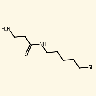 NCCC(=O)NCCCCCS